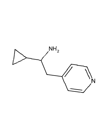 NC(Cc1ccncc1)C1CC1